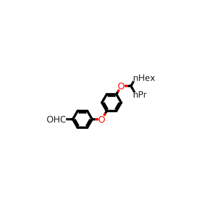 CCCCCCC(CCC)Oc1ccc(Oc2ccc(C=O)cc2)cc1